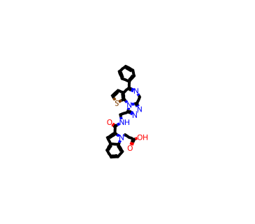 O=C(O)Cn1c(C(=O)NCc2nnc3n2-c2sccc2C(c2ccccc2)=NC3)cc2ccccc21